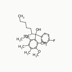 CCCCCC(C)C(O)(c1ccc(F)cc1)c1c(C)c(OC)c(C)c(C)c1OC